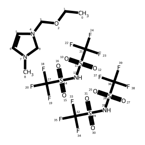 CCOCN1C=CN(C)C1.O=S(=O)(NS(=O)(=O)C(F)(F)F)C(F)(F)F.O=S(=O)(NS(=O)(=O)C(F)(F)F)C(F)(F)F